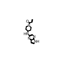 C=CC(=O)N1CCC(Nc2cnc3[nH]ccc3n2)CC1